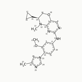 COc1cc(Nc2ncc3c(n2)N(C)[C@@H](C2CC2)CO3)ccc1-n1cnc(C)c1